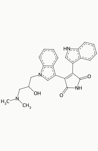 CN(C)CC(O)Cn1cc(C2=C(c3c[nH]c4ccccc34)C(=O)NC2=O)c2ccccc21